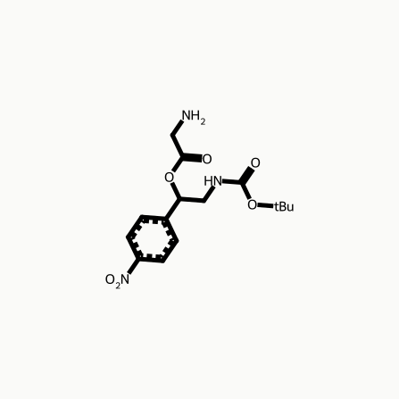 CC(C)(C)OC(=O)NCC(OC(=O)CN)c1ccc([N+](=O)[O-])cc1